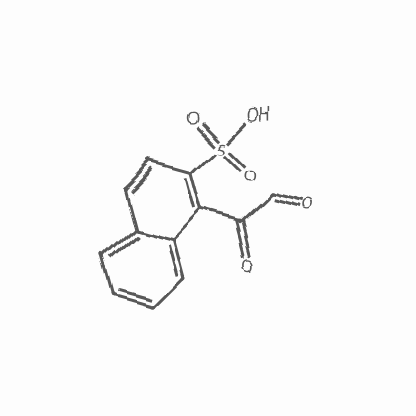 O=CC(=O)c1c(S(=O)(=O)O)ccc2ccccc12